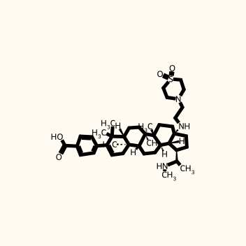 CNC(C)[C@@H]1CC[C@]2(NCCN3CCS(=O)(=O)CC3)CC[C@]3(C)[C@H](CC[C@@H]4[C@@]5(C)CC=C(c6ccc(C(=O)O)cc6)C(C)(C)[C@@H]5CC[C@]43C)[C@@H]12